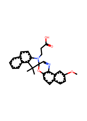 COc1ccc2ccc3c(c2c1)N=CC1(O3)N(CCC(=O)O)c2ccc3ccccc3c2C1(C)C